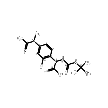 CC(=O)N(C)c1ccc(N(NC(=O)OC(C)(C)C)C(=O)O)c(Cl)c1